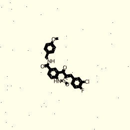 COc1ccc(CNC(=O)c2ccc3c(c2)C(=O)/C(=C/c2ccc(F)c(Cl)c2)[S+]([O-])N3)cc1